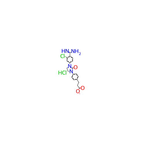 COC(=O)CCc1ccc(N2CCN(c3ccc(C(=N)N)c(Cl)c3)C2=O)cc1.Cl